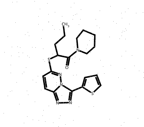 CCCC(Sc1ccc2nnc(-c3cccs3)n2n1)C(=O)N1CCCCC1